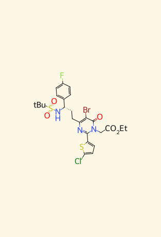 CCOC(=O)Cn1c(-c2ccc(Cl)s2)nc(CC[C@H](NS(=O)(=O)C(C)(C)C)c2ccc(F)cc2)c(Br)c1=O